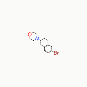 Brc1ccc2c(c1)CCC(N1CCOCC1)C2